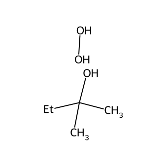 CCC(C)(C)O.OO